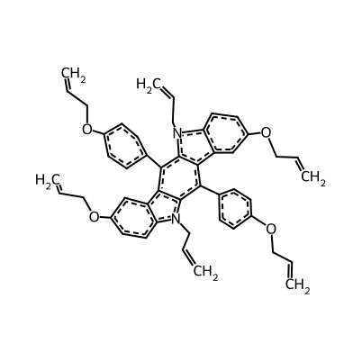 C=CCOc1ccc(-c2c3c4cc(OCC=C)ccc4n(CC=C)c3c(-c3ccc(OCC=C)cc3)c3c4cc(OCC=C)ccc4n(CC=C)c23)cc1